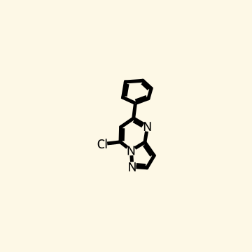 Clc1cc(-c2ccccc2)nc2ccnn12